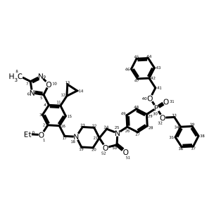 CCOc1cc(-c2nc(C)no2)c(C2CC2)cc1CN1CCC2(CC1)CN(c1ccc(P(=O)(OCc3ccccc3)OCc3ccccc3)cc1)C(=O)O2